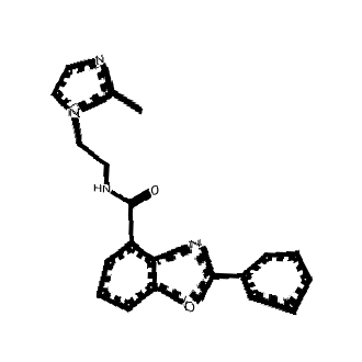 Cc1nccn1CCNC(=O)c1cccc2oc(-c3ccccc3)nc12